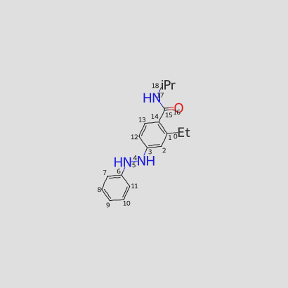 CCc1cc(NNc2ccccc2)ccc1C(=O)NC(C)C